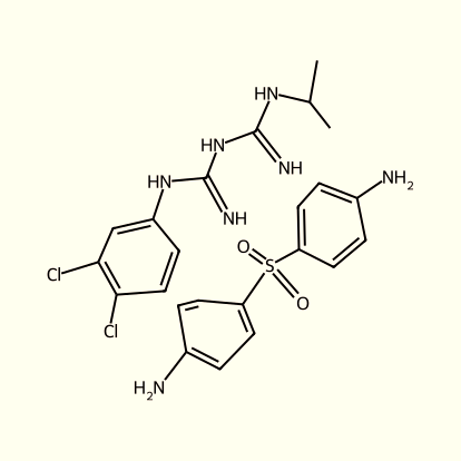 CC(C)NC(=N)NC(=N)Nc1ccc(Cl)c(Cl)c1.Nc1ccc(S(=O)(=O)c2ccc(N)cc2)cc1